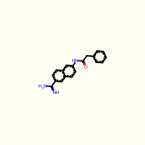 N=C(N)c1ccc2cc(NC(=O)Cc3ccccc3)ccc2c1